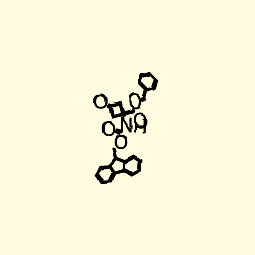 O=C1CC(NC(=O)OCC2c3ccccc3-c3ccccc32)(C(=O)OCc2ccccc2)C1